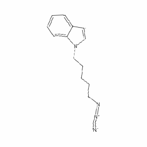 [N-]=[N+]=NCCCCCn1c[c]c2ccccc21